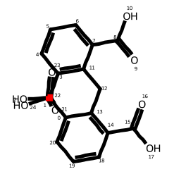 O=C(O)c1cccc(C(=O)O)c1[CH]c1c(C(=O)O)cccc1C(=O)O